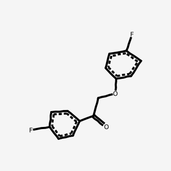 O=C(COc1ccc(F)cc1)c1ccc(F)cc1